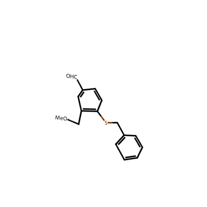 COCc1cc(C=O)ccc1SCc1ccccc1